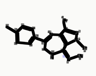 CCn1nc(C(C)C)c2c1/C(=N\C#N)NCC(c1ccc(C)cc1)=N2